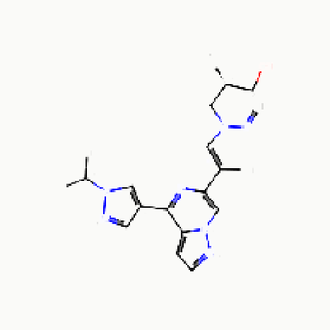 C=NN(/C=C(\C)c1cn2nccc2c(-c2cnn(C(CC)CC)c2)n1)C[C@@H](C)CO